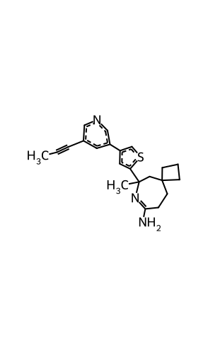 CC#Cc1cncc(-c2csc(C3(C)CC4(CCC4)CCC(N)=N3)c2)c1